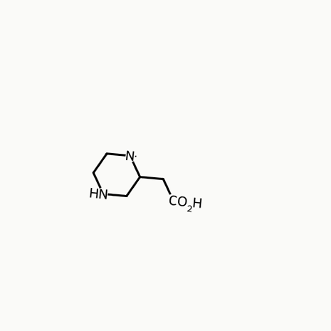 O=C(O)CC1CNCC[N]1